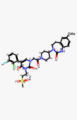 COc1ccc2c(c1)CCN(C1CCN(C(=O)Cn3cc(-c4cccc(F)c4Cl)c(=O)n([C@H](C)CS(C)(=O)=O)c3=O)CC1)C(=O)N2